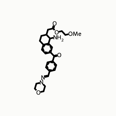 COCCOC(=O)CC1CCc2ccc(C(=O)c3ccc(C=NN4CCOCC4)cc3)cc2C1N